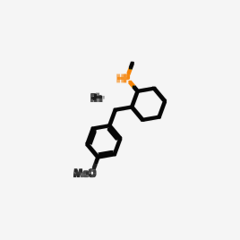 COc1ccc(CC2CCCCC2PC)cc1.[Rh]